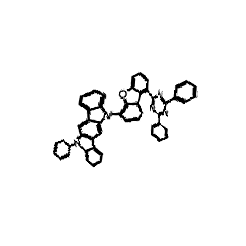 C1=CCC(n2c3ccccc3c3cc4c(cc32)c2ccccc2n4-c2cccc3c2oc2cccc(-c4nc(-c5ccccc5)nc(-c5ccccc5)n4)c23)C=C1